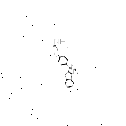 NC(=O)COc1ccc(-c2n[nH]c3c2Cc2ccccc2-3)cc1